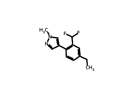 CCc1ccc(-c2cnn(C)c2)c(C(F)F)c1